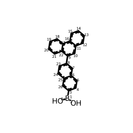 OB(O)c1ccc2cc(-c3cc4ccccc4c4ccccc34)ccc2c1